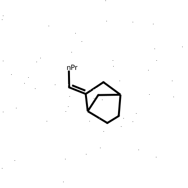 C[CH]CC=C1CC2CCC1C2